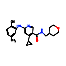 Cc1ccc(C#N)c(Nc2cc(C3CC3)c(C(=O)NCC3CCOCC3)cn2)c1